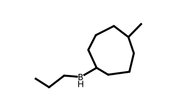 CCCBC1CCCC(C)CCC1